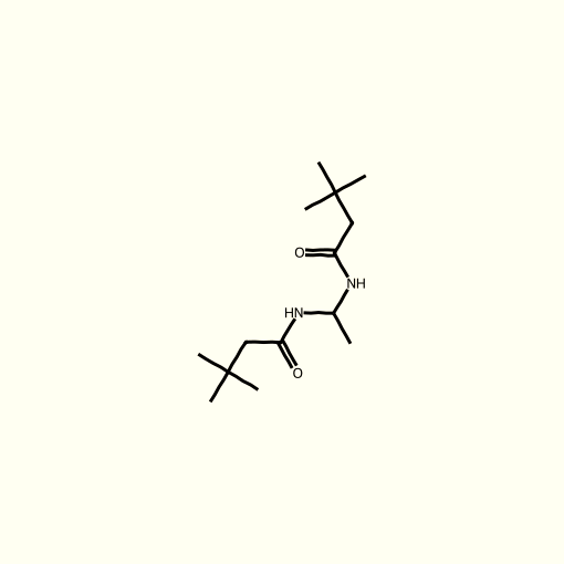 CC(NC(=O)CC(C)(C)C)NC(=O)CC(C)(C)C